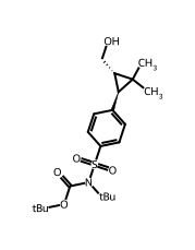 CC(C)(C)OC(=O)N(C(C)(C)C)S(=O)(=O)c1ccc([C@H]2[C@H](CO)C2(C)C)cc1